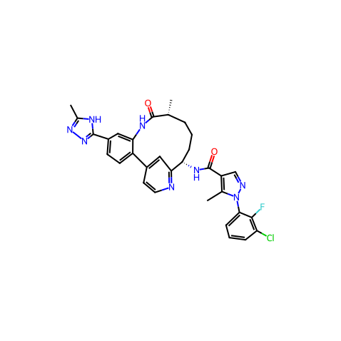 Cc1nnc(-c2ccc3c(c2)NC(=O)[C@H](C)CCC[C@H](NC(=O)c2cnn(-c4cccc(Cl)c4F)c2C)c2cc-3ccn2)[nH]1